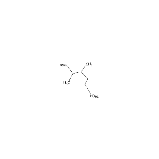 CCCCCCCCCCCCC(C)C(C)CCCCCCCCCC